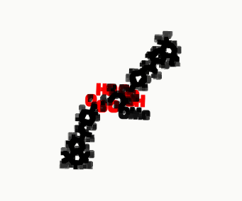 CO[C@H]1O[C@H](COC(=O)c2ccc(/C=C(\C)c3ccc4c(c3)C(C)(C)CCC4(C)C)cc2)[C@@H](O)[C@H](OC(=O)c2ccc(/C=C(\C)c3ccc4c(c3)C(C)(C)CCC4(C)C)cc2)[C@H]1O